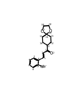 O=C(C=Cc1ccccc1Br)C1CCC2(CC1)OCCO2